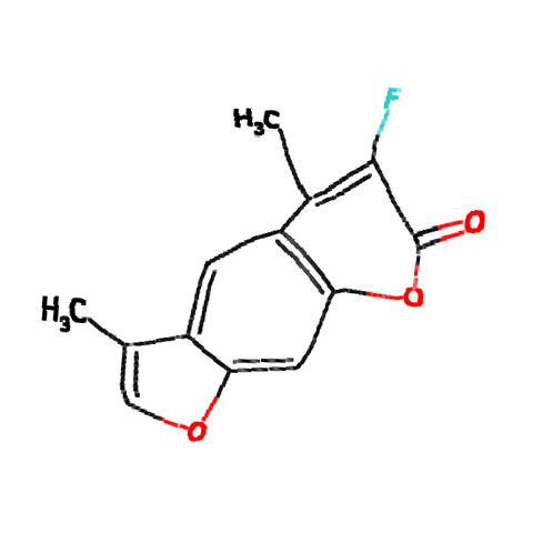 Cc1coc2cc3oc(=O)c(F)c(C)c3cc12